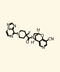 N#Cc1cncc2c1O[C@H]1C[C@@H]2N(C(=O)C2(F)CCN(c3nccn4ncnc34)CC2)C1